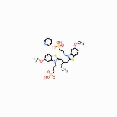 CCC(=Cc1sc2ccc(OC)cc2[n+]1CCCS(=O)(=O)O)C=C1Sc2ccc(OC)cc2N1CCCS(=O)(=O)O.c1ccncc1